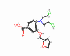 O=C(O)c1ccc(N(CCCl)CCCl)c(OCc2ccco2)c1